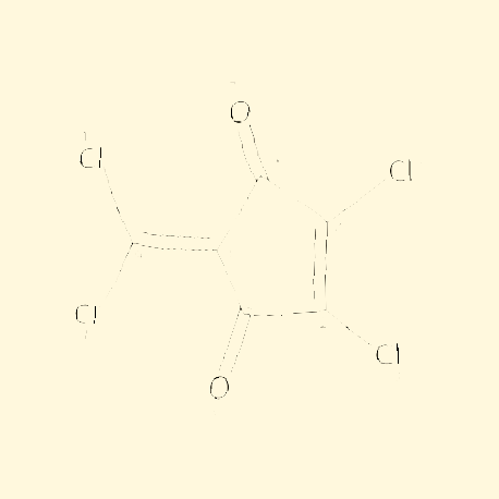 O=C1C(Cl)=C(Cl)C(=O)C1=C(Cl)Cl